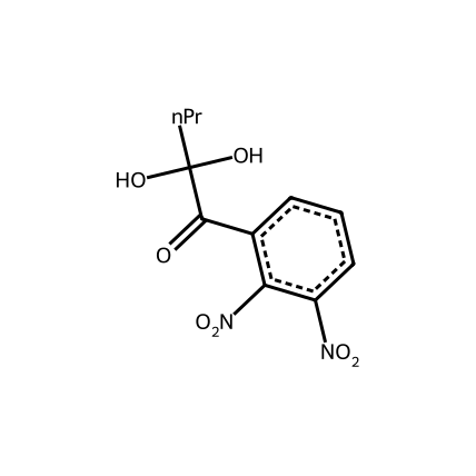 CCCC(O)(O)C(=O)c1cccc([N+](=O)[O-])c1[N+](=O)[O-]